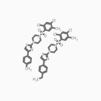 CCc1ccc(-c2csc(N3CCN(S(=O)(=O)c4cc(C)c(Cl)cc4Cl)CC3)n2)cc1.Cc1ccc(-c2csc(N3CCN(S(=O)(=O)c4cc(C)c(Cl)cc4Cl)CC3)n2)cc1